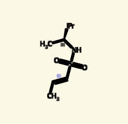 C/C=C/S(=O)(=O)N[C@@H](C)C(C)C